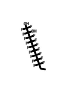 CCC(F)(F)C(F)(F)C(F)(F)C(F)(F)C(F)(F)C(F)(F)C(F)(F)C(O)(F)C(O)(F)F